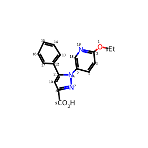 CCOc1ccc(-n2nc(C(=O)O)cc2-c2ccccc2)cn1